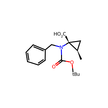 C[C@@H]1C[C@@]1(C(=O)O)N(Cc1ccccc1)C(=O)OC(C)(C)C